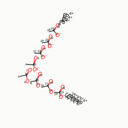 CC(=O)[O-].CC(=O)[O-].CC(=O)[O-].CC(=O)[O-].CC(=O)[O-].CC(=O)[O-].CC(=O)[O-].CC(=O)[O-].[Co+2].[Co+2].[Pb+4].[Pb+4].[Pb+4].[Pb+4].[Pb+4].[Pb+4]